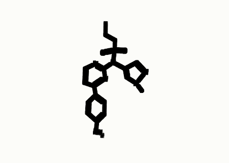 CCCS(=O)(=O)N(c1cnn(C)c1)c1nccc(-c2ccc(N)cc2)n1